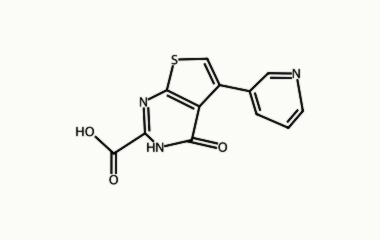 O=C(O)c1nc2scc(-c3cccnc3)c2c(=O)[nH]1